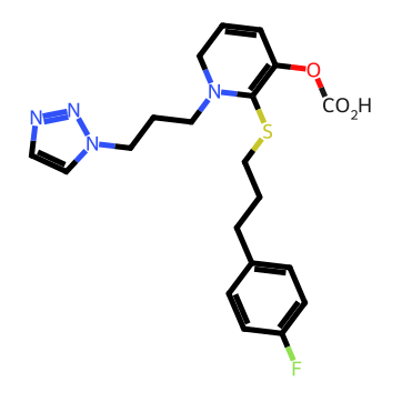 O=C(O)OC1=C(SCCCc2ccc(F)cc2)N(CCCn2ccnn2)CC=C1